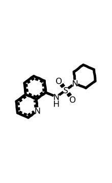 O=S(=O)(Nc1cccc2cccnc12)N1CCCCC1